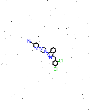 N#Cc1ccc(N2CCN(c3nnc(Cc4ccc(Cl)cc4Cl)c4ccccc34)CC2)nc1